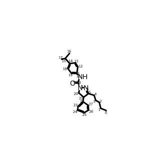 CCCCCC1=NN(C(=O)Nc2ccc(C(C)C)cc2)CC1c1ccccc1